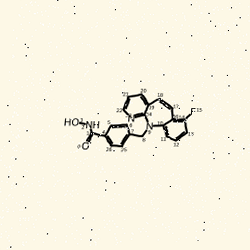 O=C(NO)c1ccc(CN2c3cccc(F)c3C=Cc3cccnc32)cc1